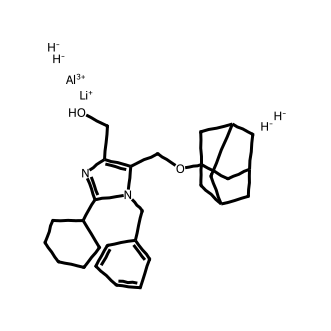 OCc1nc(C2CCCCC2)n(Cc2ccccc2)c1COC12CC3CC(CC(C3)C1)C2.[Al+3].[H-].[H-].[H-].[H-].[Li+]